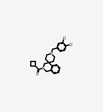 O=C(C1CCC1)N1Cc2ccccc2C2(CCN(Cc3ccc(Cl)c(Cl)c3)CC2)C1